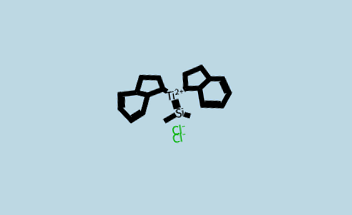 C[Si](C)=[Ti+2]([CH]1CCC2C=CC=CC21)[CH]1CCC2C=CC=CC21.[Cl-].[Cl-]